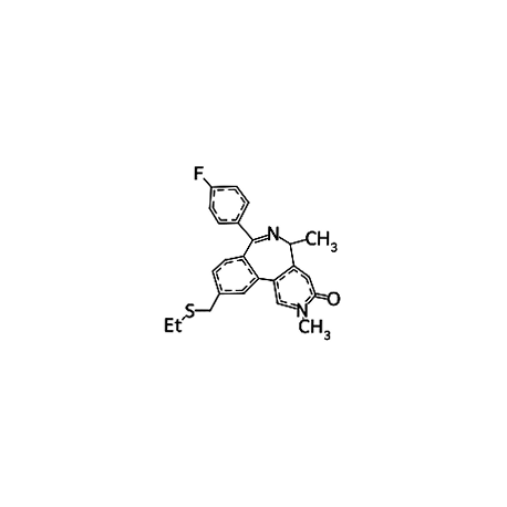 CCSCc1ccc2c(c1)-c1cn(C)c(=O)cc1C(C)N=C2c1ccc(F)cc1